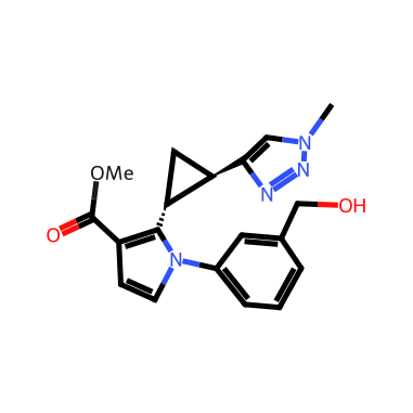 COC(=O)c1ccn(-c2cccc(CO)c2)c1[C@@H]1C[C@H]1c1cn(C)nn1